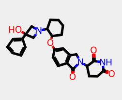 O=C1CCC(N2Cc3cc(OC4CCCCC4N4CC(O)(c5ccccc5)C4)ccc3C2=O)C(=O)N1